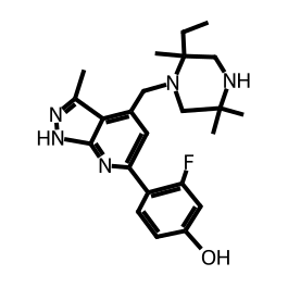 CCC1(C)CNC(C)(C)CN1Cc1cc(-c2ccc(O)cc2F)nc2[nH]nc(C)c12